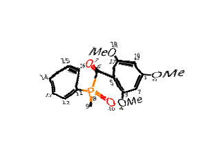 COc1cc(OC)c(C(=O)P(C)(=O)c2ccccc2)c(OC)c1